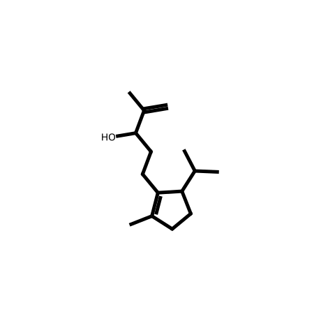 C=C(C)C(O)CCC1=C(C)CCC1C(C)C